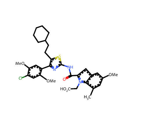 COc1cc(C)c2c(c1)cc(C(=O)Nc1nc(-c3cc(OC)c(Cl)cc3OC)c(CCC3CCCCC3)s1)n2CC(=O)O